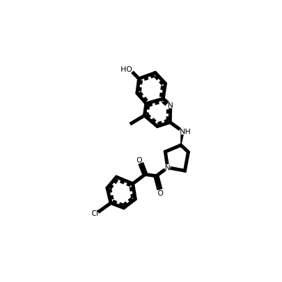 Cc1cc(N[C@H]2CCN(C(=O)C(=O)c3ccc(Cl)cc3)C2)nc2ccc(O)cc12